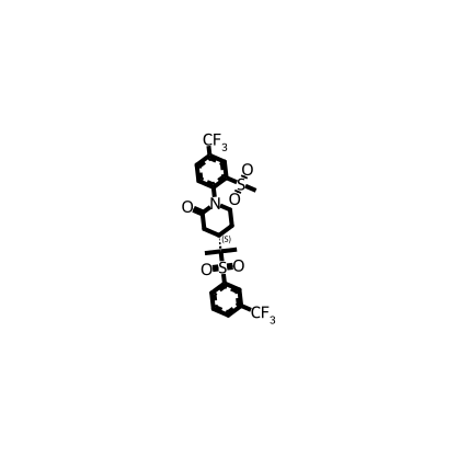 CC(C)([C@H]1CCN(c2ccc(C(F)(F)F)cc2S(C)(=O)=O)C(=O)C1)S(=O)(=O)c1cccc(C(F)(F)F)c1